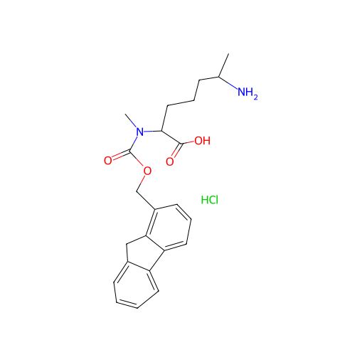 CC(N)CCCC(C(=O)O)N(C)C(=O)OCc1cccc2c1Cc1ccccc1-2.Cl